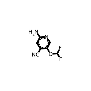 N#Cc1cc(N)ncc1OC(F)F